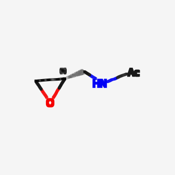 CC(=O)NC[C@H]1CO1